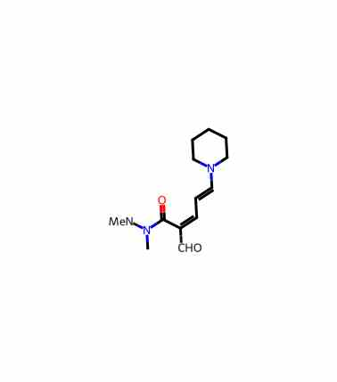 CNN(C)C(=O)/C(C=O)=C\C=C\N1CCCCC1